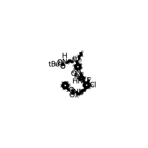 C=CCC[C@@H](c1ccc(-n2cc3cc(-c4cc(CCC[C@H](C)NC(=O)OCc5ccccc5)cc(Cl)c4F)[nH]c3nc2=O)cc1)N(C)CCCNC(=O)OC(C)(C)C